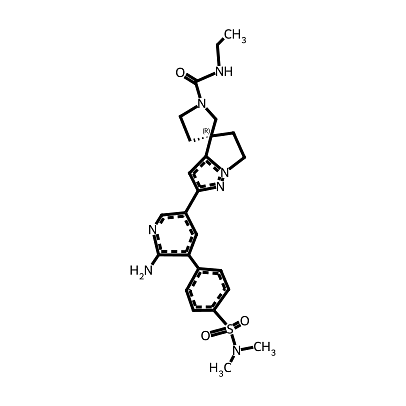 CCNC(=O)N1CC[C@@]2(CCn3nc(-c4cnc(N)c(-c5ccc(S(=O)(=O)N(C)C)cc5)c4)cc32)C1